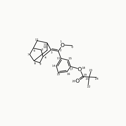 COC(=C1C2CC3CC(C2)CC1C3)c1cccc(OC(=O)C(C)(C)C)c1